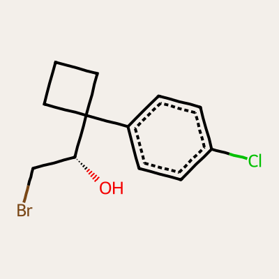 O[C@H](CBr)C1(c2ccc(Cl)cc2)CCC1